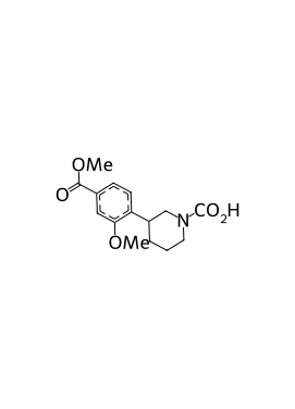 COC(=O)c1ccc(C2CCCN(C(=O)O)C2)c(OC)c1